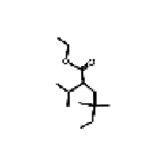 CCOC(=O)C(CC(C)(C)CC)C(C)C